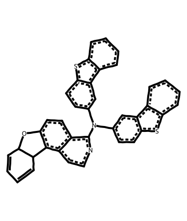 C1=CC2Oc3ccc4c(N(c5ccc6sc7ccccc7c6c5)c5ccc6sc7ccccc7c6c5)nccc4c3C2C=C1